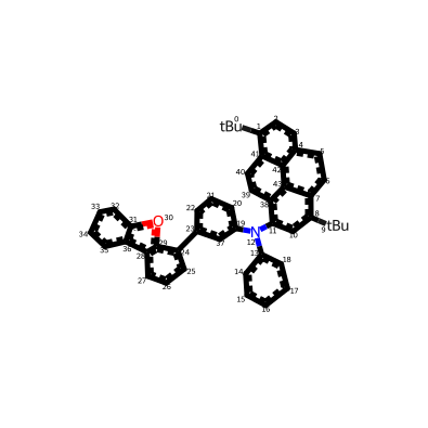 CC(C)(C)c1ccc2ccc3c(C(C)(C)C)cc(N(c4ccccc4)c4cccc(-c5cccc6c5oc5ccccc56)c4)c4ccc1c2c43